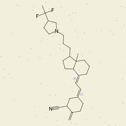 C=C1CC/C(=C/C=C2\CCCC3(C)C(CCCN4CCC(C(C)(F)F)C4)CCC23)CC1C#N